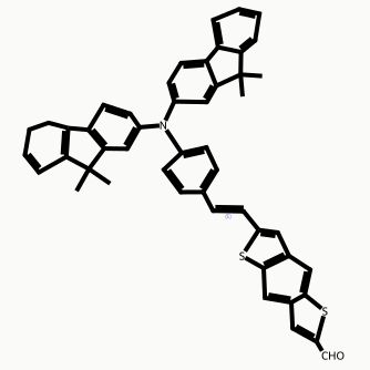 CC1(C)C2=C(CCC=C2)c2ccc(N(c3ccc(/C=C/c4cc5cc6sc(C=O)cc6cc5s4)cc3)c3ccc4c(c3)C(C)(C)c3ccccc3-4)cc21